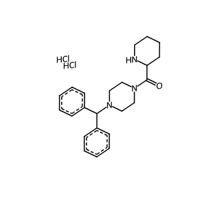 Cl.Cl.O=C(C1CCCCN1)N1CCN(C(c2ccccc2)c2ccccc2)CC1